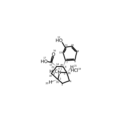 CN1[C@H]2CC[C@@H]1[C@@H](c1cccc(O)c1)[C@@H](C(=O)O)C2.Cl